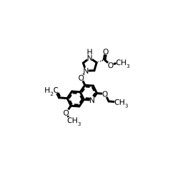 C=Cc1cc2c(ON3CN[C@H](C(=O)OC)C3)cc(OCC)nc2cc1OC